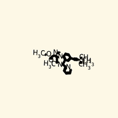 CCOC(=O)c1ncn2c1C(C)N=C(c1ccccn1)c1cc(C#C[Si](C)(C)C)ccc1-2